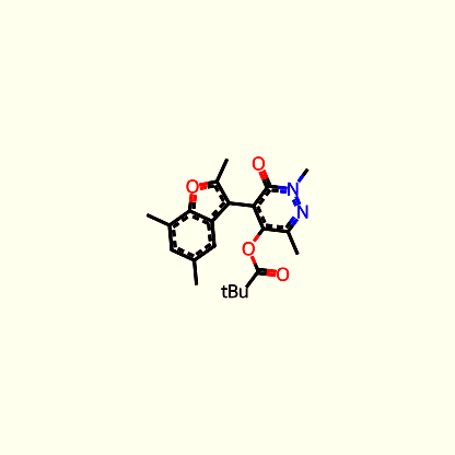 Cc1cc(C)c2oc(C)c(-c3c(OC(=O)C(C)(C)C)c(C)nn(C)c3=O)c2c1